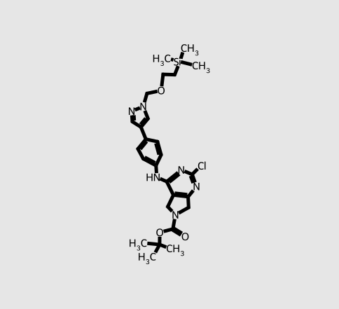 CC(C)(C)OC(=O)N1Cc2nc(Cl)nc(Nc3ccc(-c4cnn(COCC[Si](C)(C)C)c4)cc3)c2C1